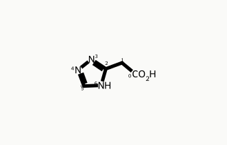 O=C(O)Cc1nn[c][nH]1